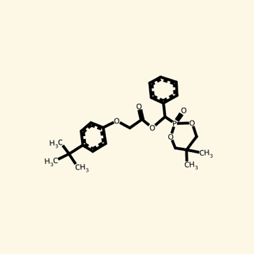 CC1(C)COP(=O)(C(OC(=O)COc2ccc(C(C)(C)C)cc2)c2ccccc2)OC1